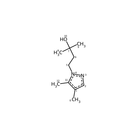 Cc1cnn(CCC(C)(C)O)c1C